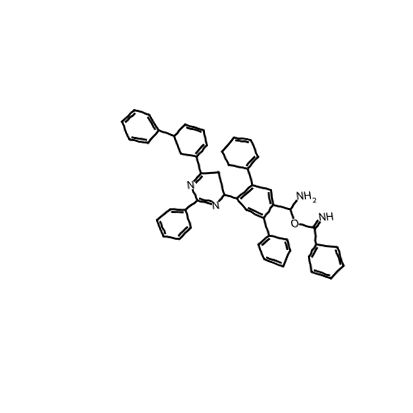 N=C(OC(N)c1cc(C2=CC=CCC2)c(C2CC(C3=CC=CC(c4ccccc4)C3)=NC(c3ccccc3)=N2)cc1-c1ccccc1)c1ccccc1